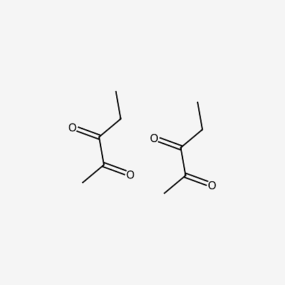 CCC(=O)C(C)=O.CCC(=O)C(C)=O